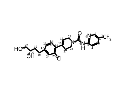 O=C(Nc1ccc(C(F)(F)F)cn1)N1CC=C(c2ncc(CC[C@H](O)CO)cc2Cl)CC1